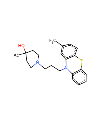 CC(=O)C1(O)CCN(CCCN2c3ccccc3Sc3ccc(C(F)(F)F)cc32)CC1